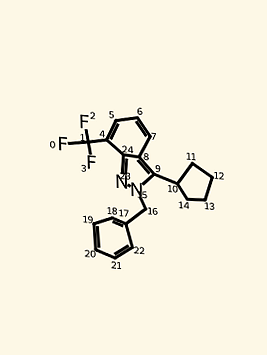 FC(F)(F)c1cccc2c(C3CCCC3)n(Cc3ccccc3)nc12